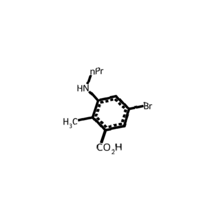 CCCNc1cc(Br)cc(C(=O)O)c1C